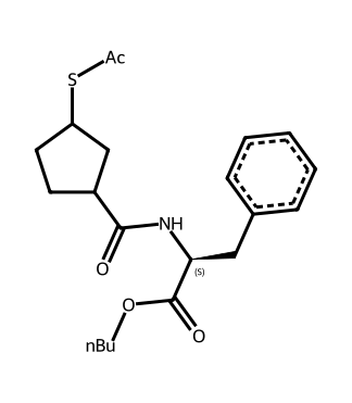 CCCCOC(=O)[C@H](Cc1ccccc1)NC(=O)C1CCC(SC(C)=O)C1